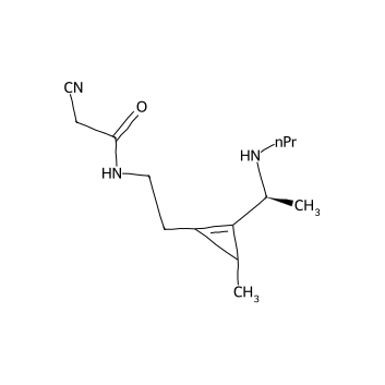 CCCN[C@@H](C)C1=C(CCNC(=O)CC#N)C1C